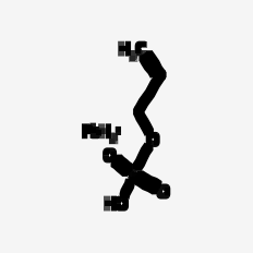 C=CCOS(=O)(=O)O.[PbH2]